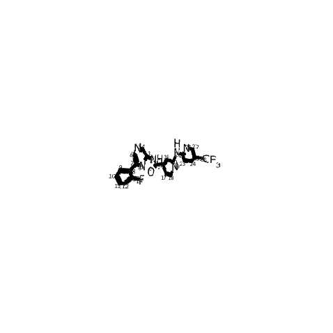 O=C(Nc1cncc(-c2ccccc2F)n1)c1ccnc(Nc2ccc(C(F)(F)F)cn2)c1